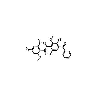 COc1cc(OC)c(C(=O)[PH](=O)c2c(Cl)cc(C(=O)c3ccccc3)c(Cl)c2OC)c(OC)c1